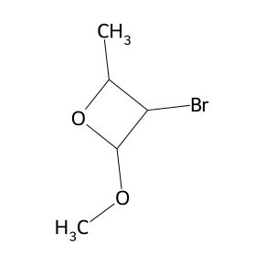 COC1OC(C)C1Br